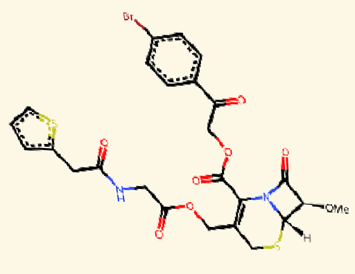 CO[C@@H]1C(=O)N2C(C(=O)OCC(=O)c3ccc(Br)cc3)=C(COC(=O)CNC(=O)Cc3cccs3)CS[C@@H]12